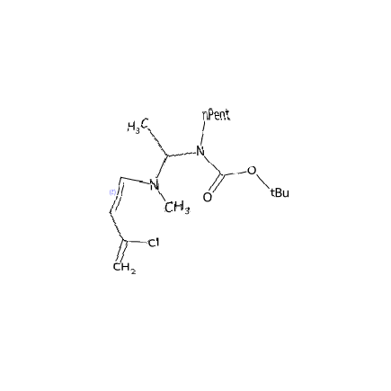 C=C(Cl)/C=C\N(C)C(C)N(CCCCC)C(=O)OC(C)(C)C